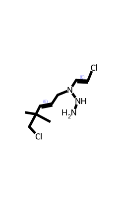 CC(C)(/C=C/CN(/C=C/Cl)NN)CCl